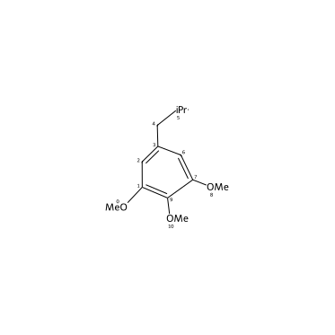 COc1cc(C[C](C)C)cc(OC)c1OC